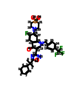 CC(C)(c1ccccc1)c1nc(-c2cn(Cc3ccc(C(F)(F)F)cc3)c3cc(N4CCS(=O)(=O)CC4)c(F)cc3c2=O)no1